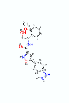 COc1ccccc1C(CO)NC(=O)c1cc(-c2ccc3[nH]ncc3c2)on1